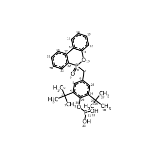 CC(C)(C)c1cc(CP2(=O)Oc3ccccc3-c3ccccc32)cc(C(C)(C)C)c1OP(O)O